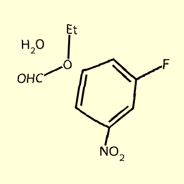 CCOC=O.O.O=[N+]([O-])c1cccc(F)c1